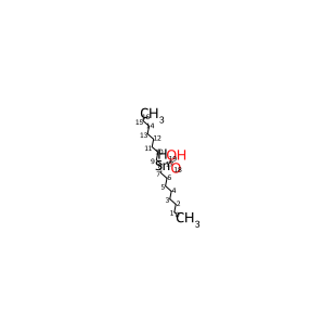 CCCCCCC[CH2][SnH]([CH2]CCCCCCC)[C](=O)O